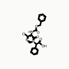 O=C(Nc1c(Cl)ncn(C(C(=O)O)c2ccccc2)c1=O)OCc1ccccc1